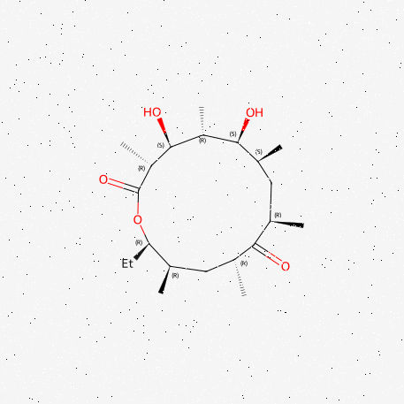 CC[C@H]1OC(=O)[C@H](C)[C@@H](O)[C@H](C)[C@@H](O)[C@@H](C)C[C@@H](C)C(=O)[C@H](C)C[C@H]1C